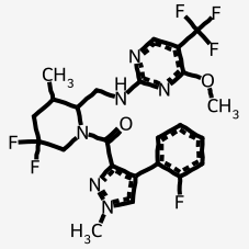 COc1nc(NCC2C(C)CC(F)(F)CN2C(=O)c2nn(C)cc2-c2ccccc2F)ncc1C(F)(F)F